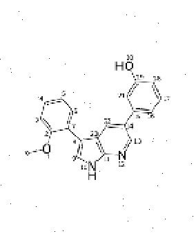 COc1ccccc1-c1c[nH]c2ncc(-c3cccc(O)c3)cc12